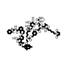 CO[C@H]1O[C@@H](Cn2cc(CCCN(CCOC34CC5(C)CC(C)(CC(Cn6ncc(-c7ccc(N8CCc9cccc(C(=O)Nc%10nc%11ccccc%11s%10)c9C8)nc7C(=O)O)c6C)(C5)C3)C4)C(=O)OCc3ccc(NC(=O)[C@H](CCCNC(N)=O)NC(=O)[C@@H](NC(=O)CCCCCN4C(=O)C=CC4=O)C(C)C)cc3)nn2)[C@@H](O)[C@@H](O)[C@H]1O